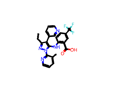 CCc1nn(-c2ncccc2C)c(Nc2ccc(C(F)(F)F)cc2C(=O)O)c1-c1cccnc1